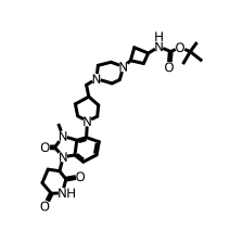 Cn1c(=O)n(C2CCC(=O)NC2=O)c2cccc(N3CCC(CN4CCN(C5CC(NC(=O)OC(C)(C)C)C5)CC4)CC3)c21